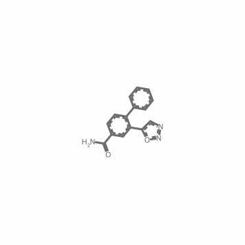 NC(=O)c1ccc(-c2ccccc2)c(-c2cnno2)c1